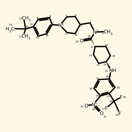 CN(CC1CCN(c2ccc(C(C)(C)C)cc2)CC1)C(=O)[C@H]1CC[C@H](Nc2ccc([N+](=O)[O-])c(C(F)(F)F)c2)CC1